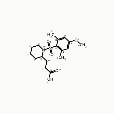 COc1cc(C)c(S(=O)(=O)N2CCCCC2CCC(=O)O)c(C)c1